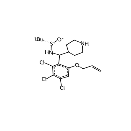 C=CCOc1cc(Cl)c(Cl)c(Cl)c1C(N[S@@+]([O-])C(C)(C)C)C1CCNCC1